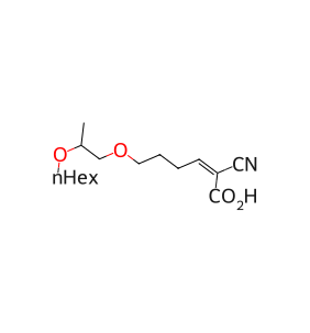 CCCCCCOC(C)COCCCC=C(C#N)C(=O)O